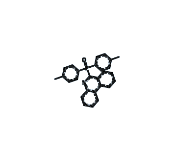 Cc1ccc(P(=O)(c2ccc(C)cc2)c2nc3ccccc3c3ccccc23)cc1